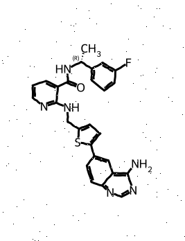 C[C@@H](NC(=O)c1cccnc1NCc1ccc(-c2ccc3ncnc(N)c3c2)s1)c1cccc(F)c1